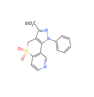 CCOC(=O)c1nn(-c2ccccc2)c2c1CS(=O)(=O)c1ccncc1-2